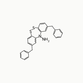 Nn1c2cc(Cc3ccccc3)ccc2ssc2ccc(Cc3ccccc3)cc21